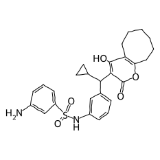 Nc1cccc(S(=O)(=O)Nc2cccc(C(c3c(O)c4c(oc3=O)CCCCCC4)C3CC3)c2)c1